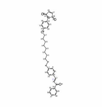 O=C(/C=C/c1ccc(CCCCCCCCCCOc2ccc(N3C(=O)C=CC3=O)cc2)cc1)c1ccccc1